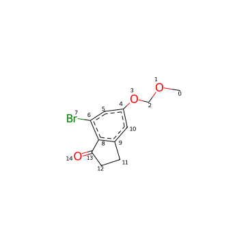 COCOc1cc(Br)c2c(c1)CCC2=O